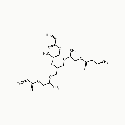 C=CC(=O)OCC(C)OCC(COC(C)COC(=O)CCC)OC(C)COC(=O)C=C